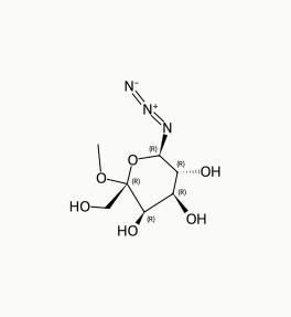 CO[C@]1(CO)O[C@@H](N=[N+]=[N-])[C@H](O)[C@@H](O)[C@H]1O